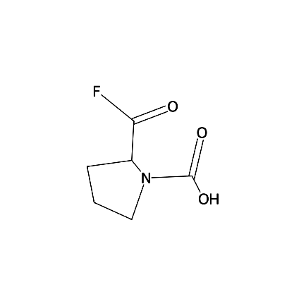 O=C(F)C1CCCN1C(=O)O